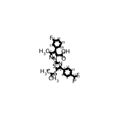 Cc1nn(-c2nc(-c3ccc(C(F)F)cc3)c(SC(C)C)s2)c(C(=O)O)c1-c1cccc(F)c1